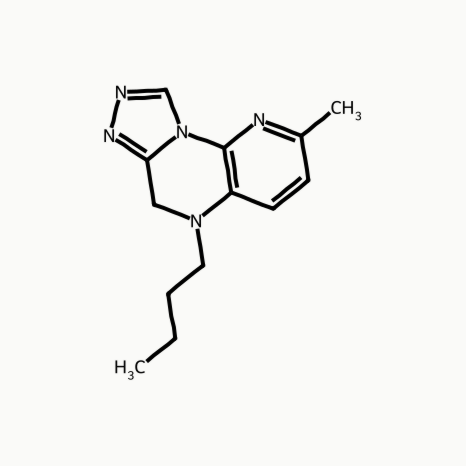 CCCCN1Cc2nncn2-c2nc(C)ccc21